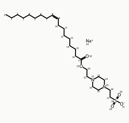 CCCCCCCC/C=C\CCCCCCCC(=O)OCCN1CCN(CCS(=O)(=O)[O-])CC1.[Na+]